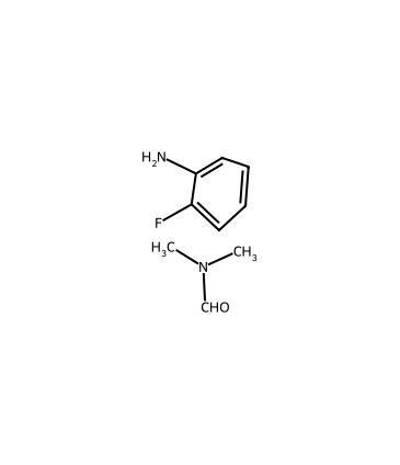 CN(C)C=O.Nc1ccccc1F